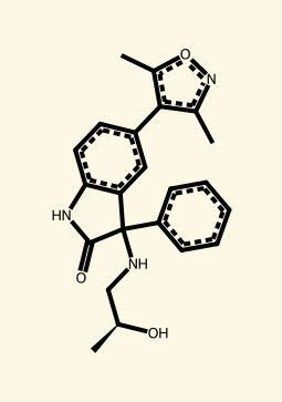 Cc1noc(C)c1-c1ccc2c(c1)C(NC[C@H](C)O)(c1ccccc1)C(=O)N2